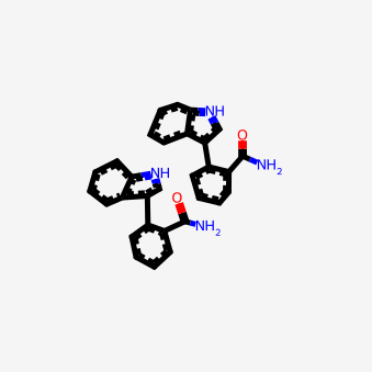 NC(=O)c1ccccc1-c1c[nH]c2ccccc12.NC(=O)c1ccccc1-c1c[nH]c2ccccc12